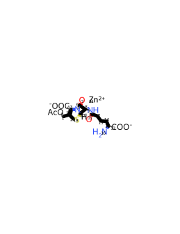 CC(=O)OCC1=C(C(=O)[O-])N2C(=O)[C@@H](NC(=O)CCC[C@@H](N)C(=O)[O-])[C@H]2SC1.[Zn+2]